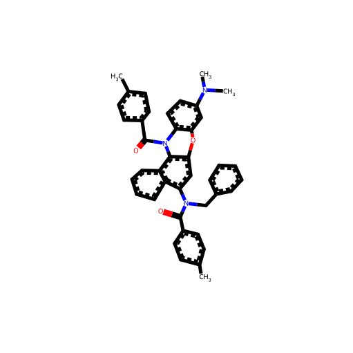 Cc1ccc(C(=O)N(Cc2ccccc2)c2cc3c(c4ccccc24)N(C(=O)c2ccc(C)cc2)c2ccc(N(C)C)cc2O3)cc1